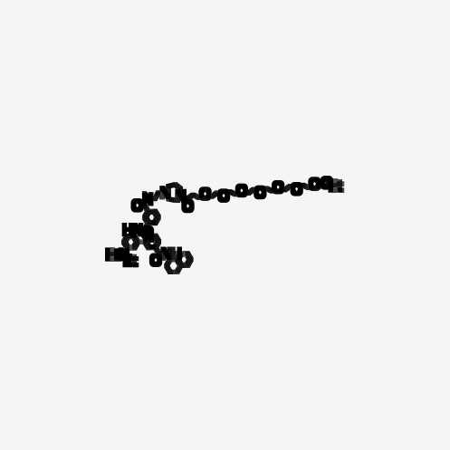 CCOCOCCOCCOCCOCCOCCOCCOCCC(=O)N1CCCN(CCN(C)C(=O)c2cccc(C(=O)Nc3ccc(N(CC)CC)cc3-c3cc(C(=O)NC4CCCc5ccccc54)ccn3)c2)CC1